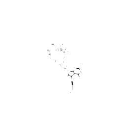 [N-]=[N+]=NCOC1CC(n2cc(C#CCN)c3c(=O)[nH]c(N)nc32)OC1COP(=O)(O)OP(=O)(O)OP(=O)(O)O